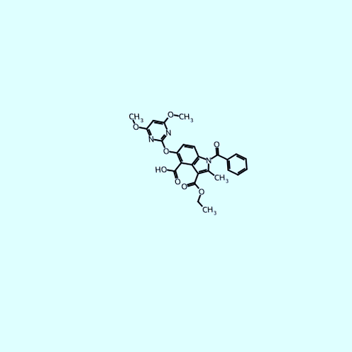 CCOC(=O)c1c(C)n(C(=O)c2ccccc2)c2ccc(Oc3nc(OC)cc(OC)n3)c(C(=O)O)c12